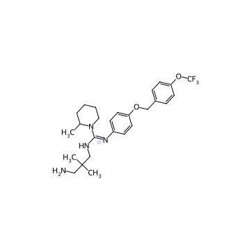 CC1CCCCN1/C(=N\c1ccc(OCc2ccc(OC(F)(F)F)cc2)cc1)NCC(C)(C)CN